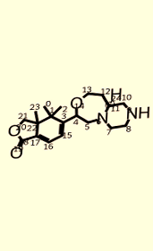 CC1(C)C(C2CN3CCNC[C@@H]3CCO2)=CC=C2C(=O)OCC21C